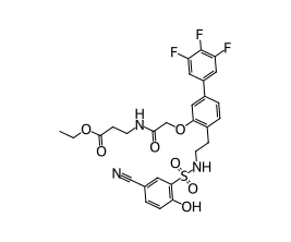 CCOC(=O)CCNC(=O)COc1cc(-c2cc(F)c(F)c(F)c2)ccc1CCNS(=O)(=O)c1cc(C#N)ccc1O